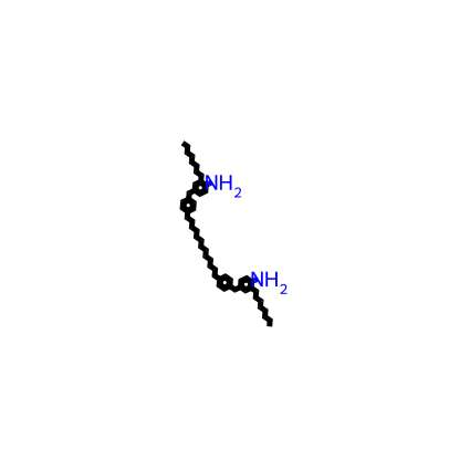 CCCCCCCCc1cc(Cc2ccc(CCCCCCCCCCCCCc3ccc(Cc4ccc(N)c(CCCCCCCC)c4)cc3)cc2)ccc1N